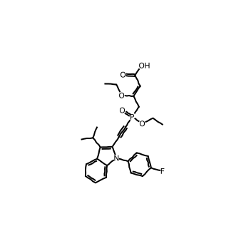 CCOC(=CC(=O)O)CP(=O)(C#Cc1c(C(C)C)c2ccccc2n1-c1ccc(F)cc1)OCC